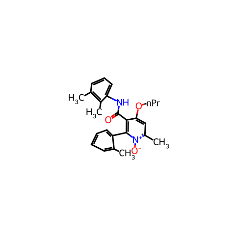 CCCOc1cc(C)[n+]([O-])c(-c2ccccc2C)c1C(=O)Nc1cccc(C)c1C